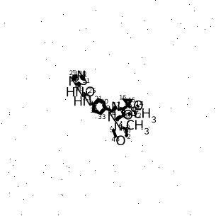 C[C@H]1COCCN1c1cc(C2(S(C)(=O)=O)CC2)nc(-c2ccc(NC(=O)Nc3ncns3)cc2)n1